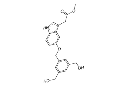 COC(=O)Cc1c[nH]c2ccc(OCc3cc(CO)cc(CO)c3)cc12